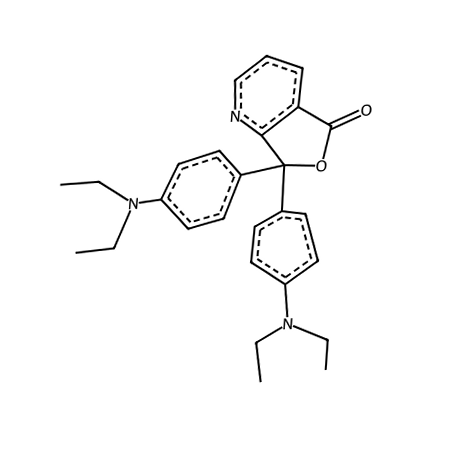 CCN(CC)c1ccc(C2(c3ccc(N(CC)CC)cc3)OC(=O)c3cccnc32)cc1